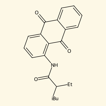 CCC(C)C(CC)C(=O)Nc1cccc2c1C(=O)c1ccccc1C2=O